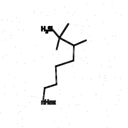 CCCCCCCCCCC(C)C(C)(C)[SiH3]